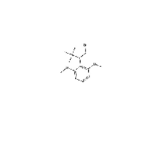 COc1cccc(OC)c1C(C[O])[Si](C)(C)C